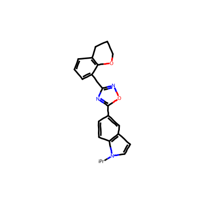 CC(C)n1ccc2cc(-c3nc(-c4cccc5c4OCCC5)no3)ccc21